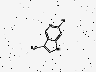 [2H]c1cc2[nH]cc(C)c2cn1